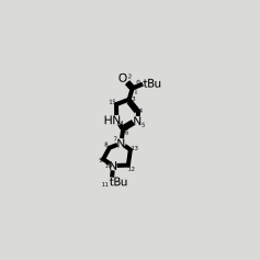 CC(C)(C)C(=O)C1=CN=C(N2CCN(C(C)(C)C)CC2)NC1